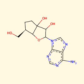 Nc1ncnc2c1ncn2C1OC2[C@@H](CO)CCC2(O)C1O